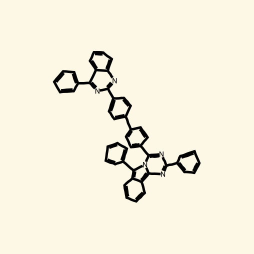 c1ccc(-c2nc(-c3ccc(-c4ccc(-c5nc(-c6ccccc6)c6ccccc6n5)cc4)cc3)n3c(-c4ccccc4)c4ccccc4c3n2)cc1